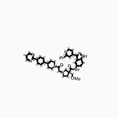 COC[C@@]1(C(=O)Nc2ccc3[nH]nc(-c4ccnc(C(C)C)c4)c3c2)CCN(CC(=O)N2CC=C(c3ccc(-c4ncccn4)cc3)CC2)C1